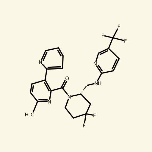 Cc1ccc(-c2ccccn2)c(C(=O)N2CCC(F)(F)C[C@H]2CNc2ccc(C(F)(F)F)cn2)n1